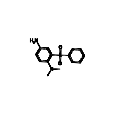 CN(C)c1ccc(N)cc1S(=O)(=O)c1ccccc1